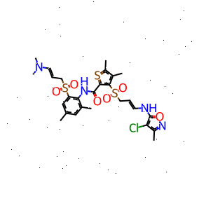 Cc1cc(C)c(NC(=O)c2sc(C)c(C)c2S(=O)(=O)CC=CNc2onc(C)c2Cl)c(S(=O)(=O)CC=CN(C)C)c1